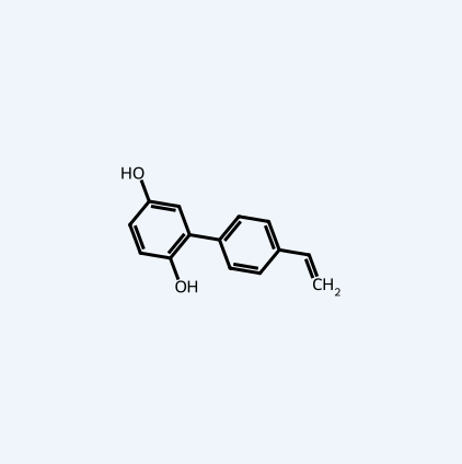 C=Cc1ccc(-c2cc(O)ccc2O)cc1